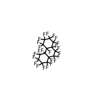 FC1(F)C(F)(F)C(F)(F)C2(F)C(F)(C1(F)F)C(F)(F)C(F)(F)C1(F)C(F)(F)C(F)(F)C(F)(F)C(F)(F)C12F